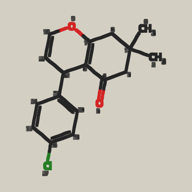 CC1(C)CC(=O)C2=C(C1)OC=CC2c1ccc(Cl)cc1